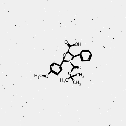 COc1ccc(C2O[C@@H](C(=O)O)C(c3ccccc3)N2C(=O)OC(C)(C)C)cc1